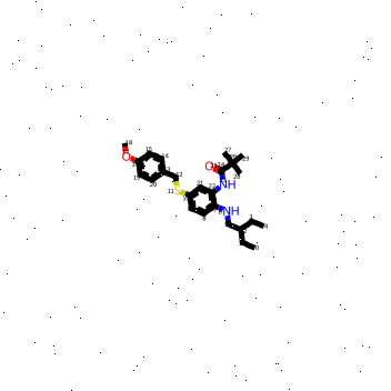 CCC(CC)CNc1ccc(SCc2ccc(OC)cc2)cc1NC(=O)C(C)(C)C